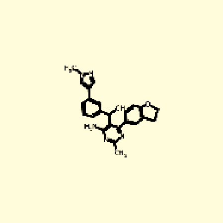 Cc1nc(N)c(C(C)c2cccc(-c3cnn(C)c3)c2)c(-c2ccc3c(c2)CCO3)n1